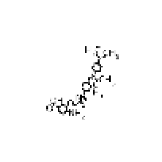 CCC(CC)c1ccc(N(Cc2ccc(-c3csc(COc4cc(C(=O)O)ccc4N)n3)cc2)C(C)C)cc1